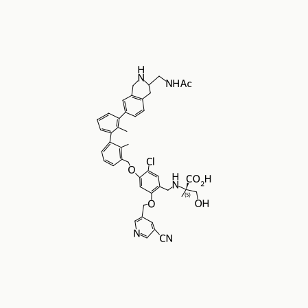 CC(=O)NCC1Cc2ccc(-c3cccc(-c4cccc(COc5cc(OCc6cncc(C#N)c6)c(CN[C@@](C)(CO)C(=O)O)cc5Cl)c4C)c3C)cc2CN1